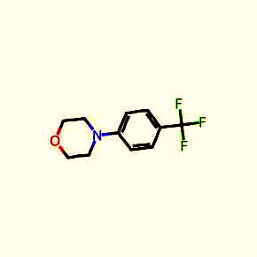 FC(F)(F)c1ccc(N2CCOCC2)cc1